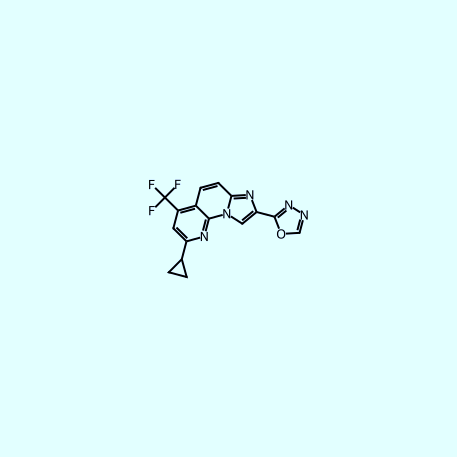 FC(F)(F)c1cc(C2CC2)nc2c1ccc1nc(-c3nnco3)cn12